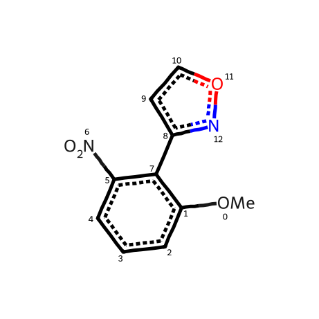 COc1cccc([N+](=O)[O-])c1-c1ccon1